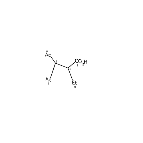 CCC(C(=O)O)C(C(C)=O)C(C)=O